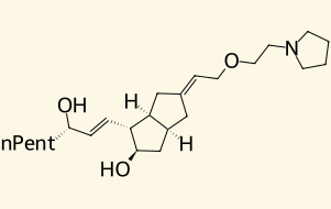 CCCCC[C@H](O)/C=C/[C@@H]1[C@H]2C/C(=C/COCCN3CCCC3)C[C@H]2C[C@H]1O